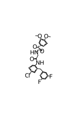 COc1ccc(S(=O)(=O)NCC(=O)Nc2ccc(Cl)cc2Cc2cc(F)cc(F)c2)cc1OC